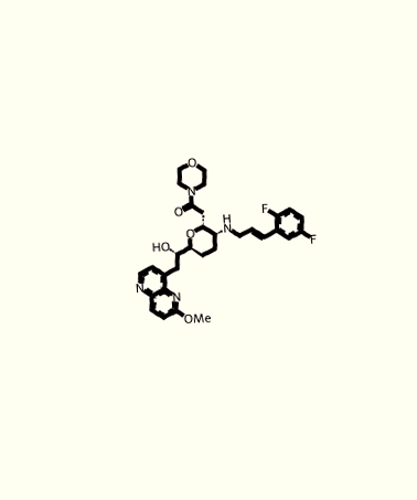 COc1ccc2nccc(C[C@H](O)[C@@H]3CC[C@@H](NCC=Cc4cc(F)ccc4F)[C@@H](CC(=O)N4CCOCC4)O3)c2n1